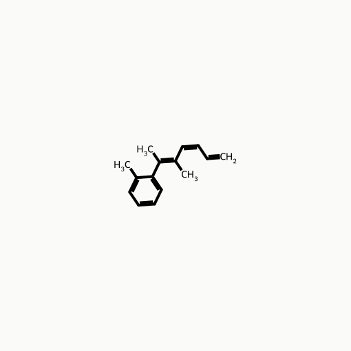 C=C/C=C\C(C)=C(/C)c1ccccc1C